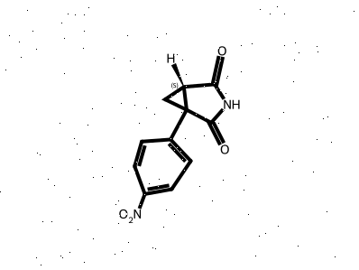 O=C1NC(=O)C2(c3ccc([N+](=O)[O-])cc3)C[C@H]12